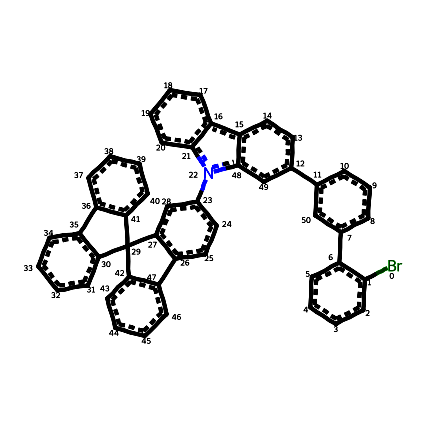 Brc1ccccc1-c1cccc(-c2ccc3c4ccccc4n(-c4ccc5c(c4)C4(c6ccccc6-c6ccccc64)c4ccccc4-5)c3c2)c1